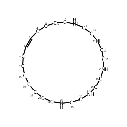 [CH]1CC=CCOCCNCCNCCNCCNCCNCCCCC1